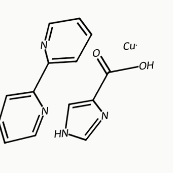 O=C(O)c1c[nH]cn1.[Cu].c1ccc(-c2ccccn2)nc1